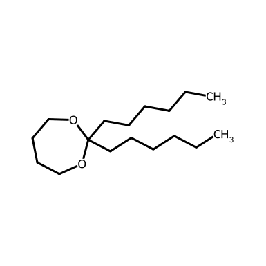 CCCCCCC1(CCCCCC)OCCCCO1